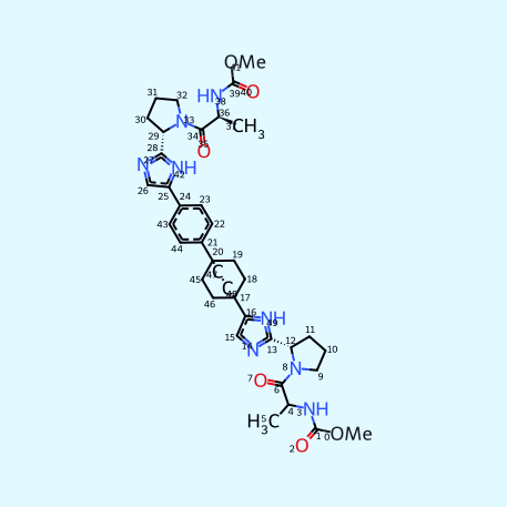 COC(=O)NC(C)C(=O)N1CCC[C@H]1c1ncc(C23CCC(c4ccc(-c5cnc([C@@H]6CCCN6C(=O)[C@H](C)NC(=O)OC)[nH]5)cc4)(CC2)CC3)[nH]1